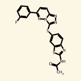 CC(=O)Nc1nc2ccc(Sc3nnc4ccc(-c5cccc(F)c5)nn34)cc2s1